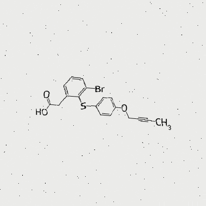 CC#CCOc1ccc(Sc2c(Br)cccc2CC(=O)O)cc1